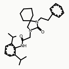 CC(C)c1cccc(C(C)C)c1NC(=O)CN1CC2(CCCCC2)N(CCc2ccccc2)C1=O